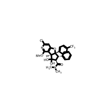 COc1nc(Cl)cc2c1[C@@H]1C(O)(O)[C@H](C(=O)N(C)C)[C@@H](c3ccccc3)[C@@]1(c1ccc(C(F)(F)F)cc1)O2